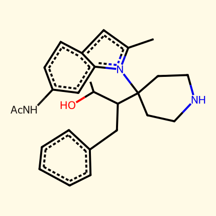 CC(=O)Nc1ccc2cc(C)n(C3(C(Cc4ccccc4)C(C)O)CCNCC3)c2c1